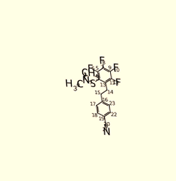 CN(C)Sc1c(F)c(F)c(F)c(F)c1CCc1ccc(C#N)cc1